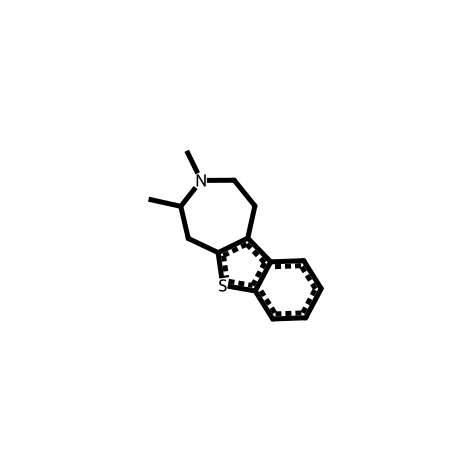 CC1Cc2sc3ccccc3c2CCN1C